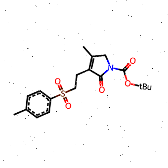 CC1=C(CCS(=O)(=O)c2ccc(C)cc2)C(=O)N(C(=O)OC(C)(C)C)C1